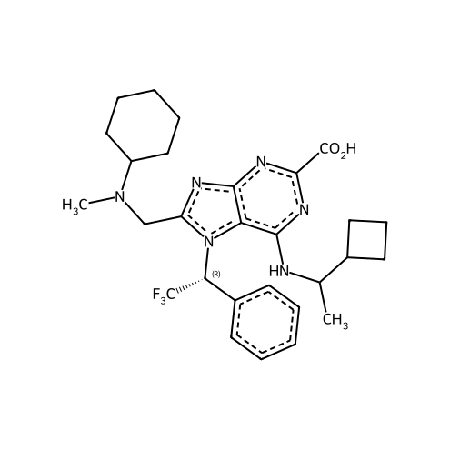 CC(Nc1nc(C(=O)O)nc2nc(CN(C)C3CCCCC3)n([C@H](c3ccccc3)C(F)(F)F)c12)C1CCC1